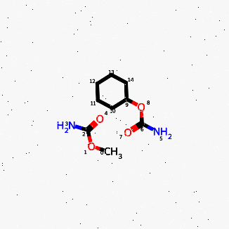 COC(N)=O.NC(=O)OC1CCCCC1